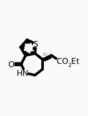 CCOC(=O)/C=C1\CCNC(=O)c2ccsc21